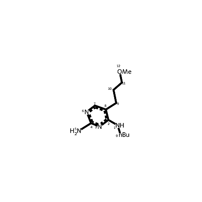 CCCCNc1nc(N)ncc1CCCOC